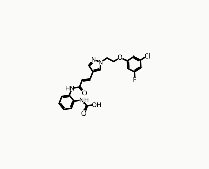 O=C(O)Nc1ccccc1NC(=O)C=Cc1cnn(CCOc2cc(F)cc(Cl)c2)c1